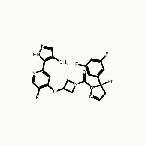 CC[C@@]1(c2cc(F)cc(F)c2)CC=NN1C(=O)N1CC(Oc2cc(-c3[nH]ncc3C)ncc2F)C1